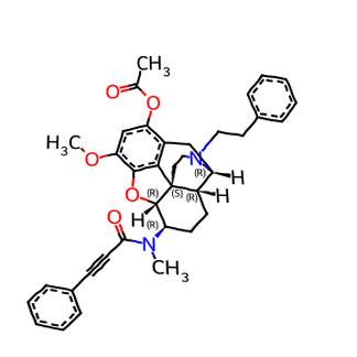 COc1cc(OC(C)=O)c2c3c1O[C@H]1[C@H](N(C)C(=O)C#Cc4ccccc4)CC[C@H]4[C@@H](C2)N(CCc2ccccc2)CC[C@@]341